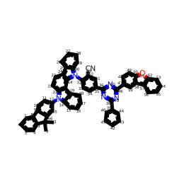 CC1(C)c2ccccc2-c2ccc(-n3c4ccccc4c4c3ccc3c5ccccc5n(-c5ccc(-c6nc(-c7ccccc7)nc(-c7ccc8oc9ccccc9c8c7)n6)cc5C#N)c34)cc21